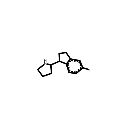 Fc1ccc2c(c1)CCC2C1CCCN1